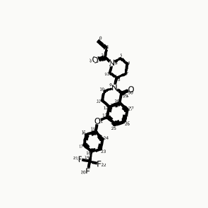 C=CC(=O)N1CCCC(N2CCc3c(Oc4ccc(C(F)(F)F)cc4)cccc3C2=O)C1